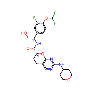 O=C(N[C@H](CO)c1ccc(OC(F)F)c(F)c1)[C@H]1CCc2cnc(NC3CCOCC3)nc2O1